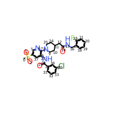 CS(=O)(=O)c1cnc(N2CCC(CC(=O)NCc3ccccc3F)CC2)c(NC(=O)c2cccc(Cl)c2)c1